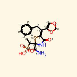 CC(C1(C(N)=O)NC(=O)C(=C(Cc2ccccc2)C2=COCO2)S1)S(=O)(=O)O